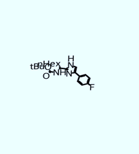 CCCCCCC(NC(=O)OC(C)(C)C)c1nc(-c2ccc(F)cc2)c[nH]1